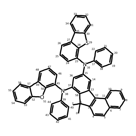 CC1(C)c2ccc3ccccc3c2-c2cc(N(c3ccccc3)c3cccc4c3sc3ccccc34)cc(N(c3ccccc3)c3cccc4c3oc3ccccc34)c21